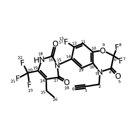 C#CCN1C(=O)C(F)(F)Oc2cc(F)c(-n3c(=O)[nH]c(C(F)(F)F)c(CC)c3=O)cc21